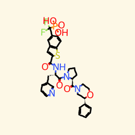 O=C(N[C@@H](Cc1cccnc1)C(=O)N1CCC[C@H]1C(=O)N1CCO[C@H](c2ccccc2)C1)c1cc2cc(C(F)(F)P(=O)(O)O)ccc2s1